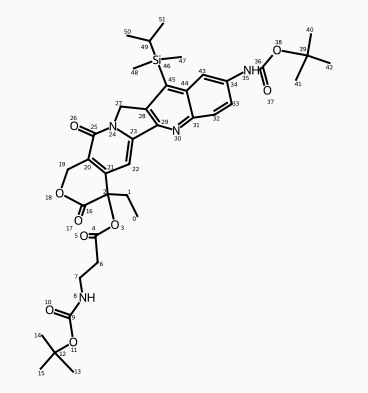 CCC1(OC(=O)CCNC(=O)OC(C)(C)C)C(=O)OCc2c1cc1n(c2=O)Cc2c-1nc1ccc(NC(=O)OC(C)(C)C)cc1c2[Si](C)(C)C(C)C